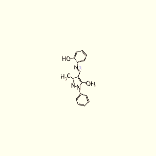 Cc1nn(-c2ccccc2)c(O)c1/C=N/c1ccccc1O